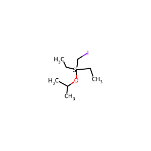 CC[Si](CC)(CI)OC(C)C